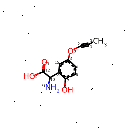 CC#COc1ccc(O)c(C(N)C(=O)O)c1